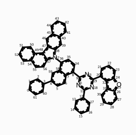 c1ccc(-c2ccc3c(-c4nc(-c5ccccc5)nc(-c5cccc6oc7ccccc7c56)n4)ccc(-n4c5cc6ccccc6cc5c5c6ccccc6ccc54)c3c2)cc1